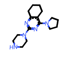 C1CCc2c(nc(N3CCNCC3)nc2N2CCCC2)C1